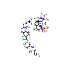 C=CC(=O)Nc1cccc(C(F)(F)c2ccc(N3CCC(CN4CCC(C(CN5CCC5)(c5cccc(F)c5)[C@H]5CCC[C@@H]5NC(=O)O)CC4)C3)cc2)c1